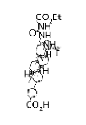 C=C(C)[C@@H]1CC[C@]2(CNC(=O)NCC(=O)OCC)CC[C@]3(C)[C@H](CC[C@@H]4[C@@]5(C)CC=C(c6ccc(C(=O)O)cc6)C(C)(C)[C@@H]5CC[C@]43C)[C@@]12N